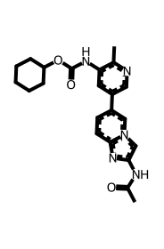 CC(=O)Nc1cn2cc(-c3cnc(C)c(NC(=O)OC4CCCCC4)c3)ccc2n1